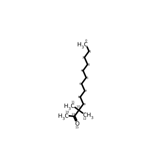 CCCCCCCCCCC(C)(C)C(C)=O